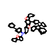 c1ccc(-c2ccc(N(c3ccc4oc5c(-c6ccc7c(c6)C6(c8ccccc8-c8ccccc86)c6ccccc6-7)c6c(cc5c4c3)oc3ccccc36)c3cccc4c3oc3ccccc34)cc2)cc1